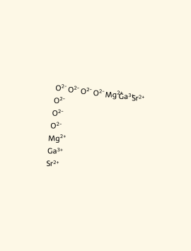 [Ga+3].[Ga+3].[Mg+2].[Mg+2].[O-2].[O-2].[O-2].[O-2].[O-2].[O-2].[O-2].[Sr+2].[Sr+2]